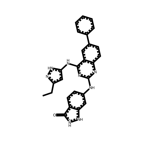 CCc1cc(Nc2nc(Nc3ccc4c(=O)[nH][nH]c4c3)nc3ccc(-c4ccccc4)cc23)[nH]n1